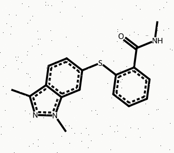 CNC(=O)c1ccccc1Sc1ccc2c(C)nn(C)c2c1